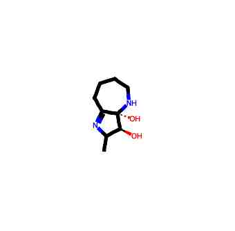 CC1N=C2CCCCN[C@@]2(O)[C@H]1O